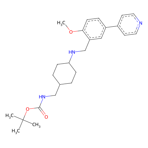 COc1ccc(-c2ccncc2)cc1CNC1CCC(CNC(=O)OC(C)(C)C)CC1